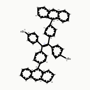 CCCCc1ccc(/C(=C(/c2ccc(CCCC)cc2)c2ccc(-c3c4ccccc4cc4ccccc34)cc2)c2ccc(-c3c4ccccc4cc4ccccc34)cc2)cc1